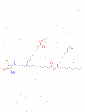 CCCCCCCCC(CCCCCCCC)OC(=O)CCCCCCCN(CCCCCCCC(=O)OC(C)(C)C)CCCNc1c(NC)c(=O)c1=O